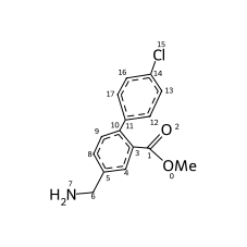 COC(=O)c1cc(CN)ccc1-c1ccc(Cl)cc1